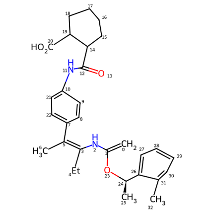 C=C(N/C(CC)=C(/C)c1ccc(NC(=O)C2CCCCC2C(=O)O)cc1)O[C@H](C)c1ccccc1C